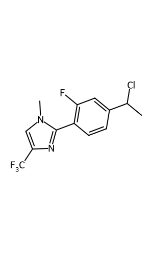 CC(Cl)c1ccc(-c2nc(C(F)(F)F)cn2C)c(F)c1